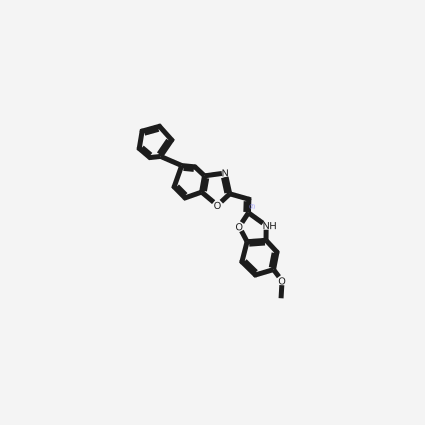 COc1ccc2c(c1)N/C(=C/c1nc3cc(-c4ccccc4)ccc3o1)O2